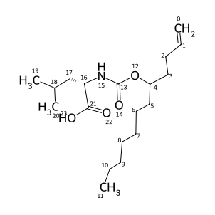 C=CCCC(CCCCCCC)OC(=O)N[C@@H](CC(C)C)C(=O)O